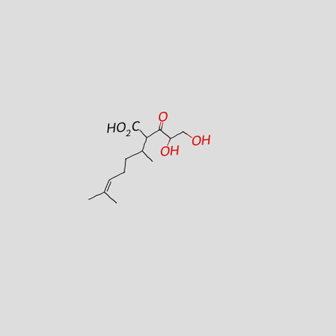 CC(C)=CCCC(C)C(C(=O)O)C(=O)C(O)CO